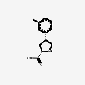 Cc1cccc([C@@H]2CN[C@H](C(=O)O)C2)c1